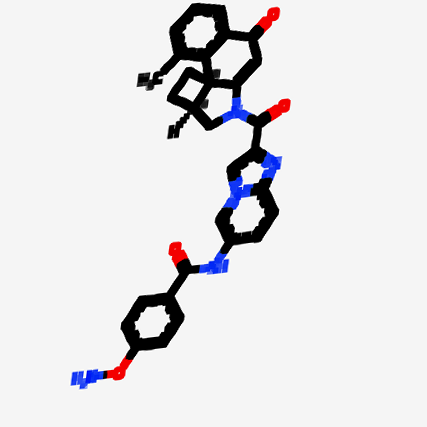 Cc1cccc2c1[C@@]13CC[C@@H]1CN(C(=O)c1cn4cc(NC(=O)c5ccc(ON)cc5)ccc4n1)C3=CC2=O